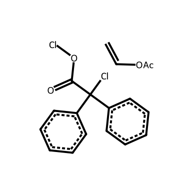 C=COC(C)=O.O=C(OCl)C(Cl)(c1ccccc1)c1ccccc1